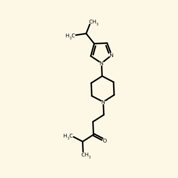 CC(C)C(=O)CCN1CCC(n2cc(C(C)C)cn2)CC1